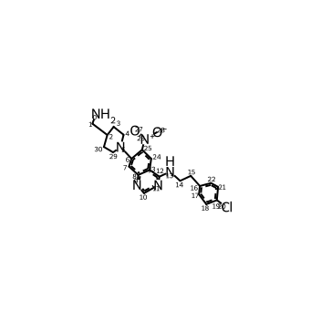 NCC1CCN(c2cc3ncnc(NCCc4ccc(Cl)cc4)c3cc2[N+](=O)[O-])CC1